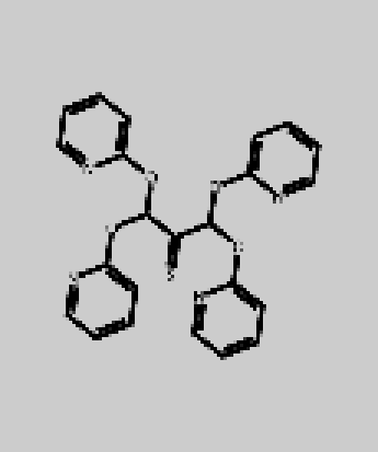 S=C(C(Oc1ccccn1)Oc1ccccn1)C(Oc1ccccn1)Oc1ccccn1